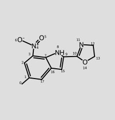 Cc1cc([N+](=O)[O-])c2[nH]c(C3=NCCO3)cc2c1